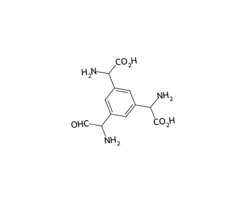 NC(C=O)c1cc(C(N)C(=O)O)cc(C(N)C(=O)O)c1